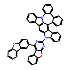 c1ccc2c(c1)-c1ccccc1-n1c3ccccc3c3cc4c(c-2c31)c1ccccc1n4-c1nc(-c2ccc3sc4ccccc4c3c2)c2c(n1)oc1ccccc12